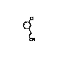 N#CC=Cc1cccc(Cl)c1